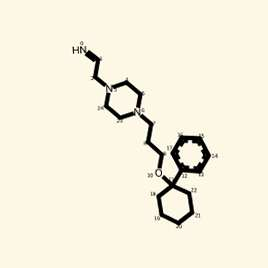 N=CCN1CCN(CCCOC2(c3ccccc3)CCCCC2)CC1